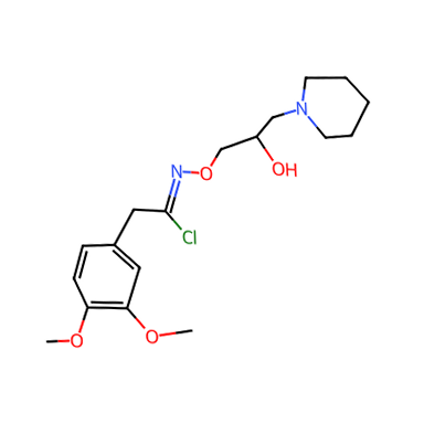 COc1ccc(CC(Cl)=NOCC(O)CN2CCCCC2)cc1OC